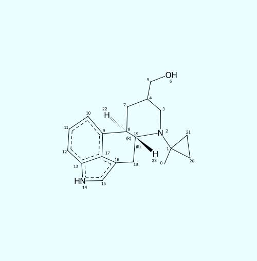 CC1(N2CC(CO)C[C@@H]3c4cccc5[nH]cc(c45)C[C@H]32)CC1